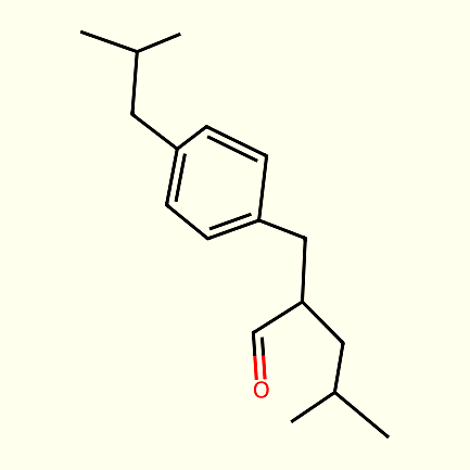 CC(C)Cc1ccc(CC(C=O)CC(C)C)cc1